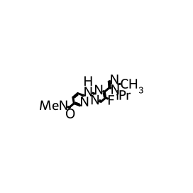 CNC(=O)c1ccc(Nc2ncc(F)c(-c3cnc(C)n3C(C)C)n2)nc1